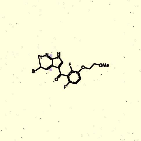 CC/N=C1/NC=C(C(=O)c2c(F)ccc(OCCOC)c2F)/C1=C/C(Br)I